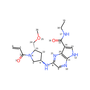 C=CC(=O)N1C[C@H](Nc2cnc3[nH]cc(C(=O)NCC)c3n2)C[C@H]1COC